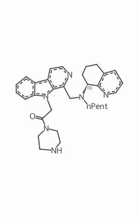 CCCCCN(Cc1nccc2c3ccccc3n(CC(=O)N3CCNCC3)c12)[C@H]1CCCc2cccnc21